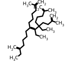 C=C(C)CCCCC(CCCCC(=C)CC)=C(CC)C(CC)(CCCC(=C)C)CCC(=C)C